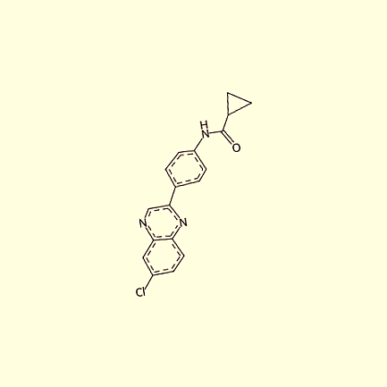 O=C(Nc1ccc(-c2cnc3cc(Cl)ccc3n2)cc1)C1CC1